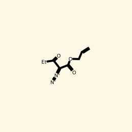 C=CCOC(=O)C(=[N+]=[N-])C(=O)CC